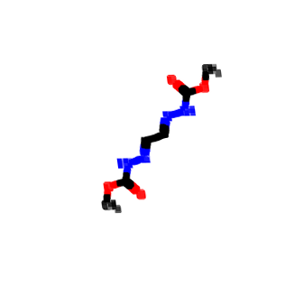 COC(=O)NN=CC=NNC(=O)OC